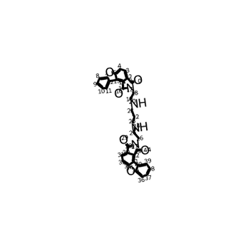 O=C1c2ccc3oc4ccccc4c3c2C(=O)N1CCNCCCNCCN1C(=O)c2ccc3oc4ccccc4c3c2C1=O